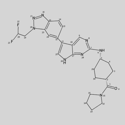 O=C([C@H]1CC[C@@H](Nc2ncc3c(-c4ccc5nnn(CC(F)F)c5c4)c[nH]c3n2)CC1)N1CCCC1